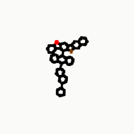 c1ccc(-c2ccc3cc(-c4c5ccccc5c(-c5c6sc7cc8ccccc8cc7c6cc6oc7ccccc7c56)c5ccccc45)ccc3c2)cc1